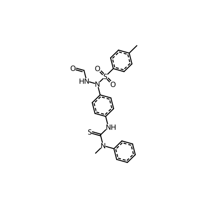 Cc1ccc(S(=O)(=O)N(NC=O)c2ccc(NC(=S)N(C)c3ccccc3)cc2)cc1